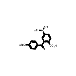 CCCN(CCC)c1ccc(C(=O)O)c(C(=O)c2ccc(OC)cc2)c1